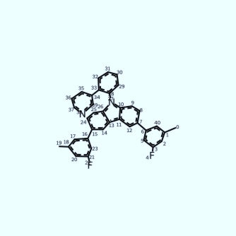 Cc1cc(F)cc(-c2ccc3c(c2)c2cc(-c4cc(C)cc(F)c4)ccc2n3-c2ccccc2-c2cccnc2)c1